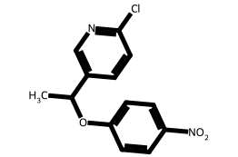 CC(Oc1ccc([N+](=O)[O-])cc1)c1ccc(Cl)nc1